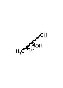 CC(=O)O.CC=CC=CCCCCCCCO